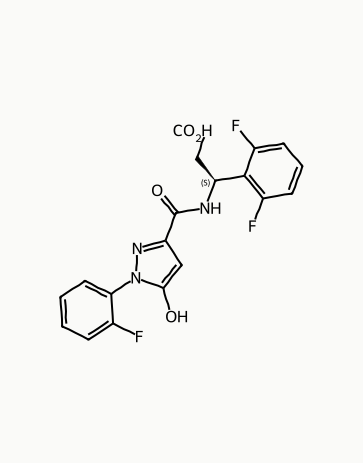 O=C(O)C[C@H](NC(=O)c1cc(O)n(-c2ccccc2F)n1)c1c(F)cccc1F